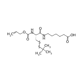 C=CCOC(=O)N[C@@H](CSSC(C)(C)C)C(=O)NCCCCCC(=O)O